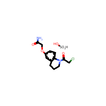 NC(=O)COc1ccc2c(c1)CCCN2C(=O)CCl.O=S(=O)(O)O